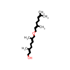 CC(C)=CCC/C(C)=C/COC/C(C)=C/CC/C(C)=C/CO